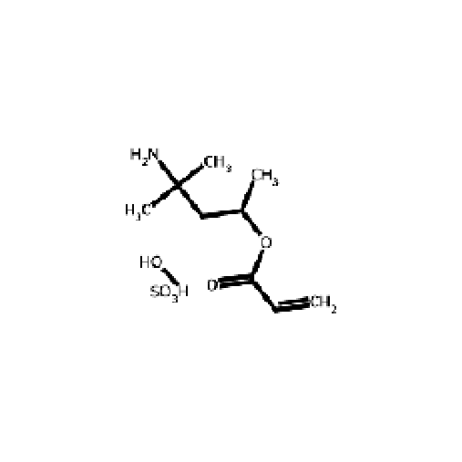 C=CC(=O)OC(C)CC(C)(C)N.O=S(=O)(O)O